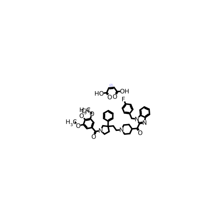 COc1cc(C(=O)N2CCC(CCN3CCC(C(=O)c4nc5ccccc5n4Cc4ccc(F)cc4)CC3)(c3ccccc3)C2)cc(OC)c1OC.O=C(O)/C=C\C(=O)O